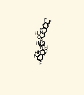 N[C@@H](CC(=O)N1C[C@@H]2C[C@H]1CN2C(=O)Nc1c(F)cc(F)cc1F)Cc1cc(F)c(F)cc1F